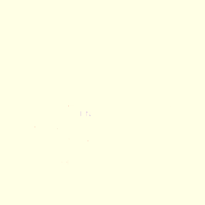 O=C(O)C(=O)O.c1ccc(C2(c3ccccc3)CNC2)cc1